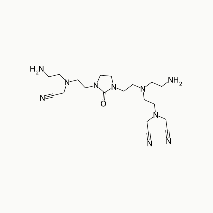 N#CCN(CC#N)CCN(CCN)CCN1CCN(CCN(CC#N)CCN)C1=O